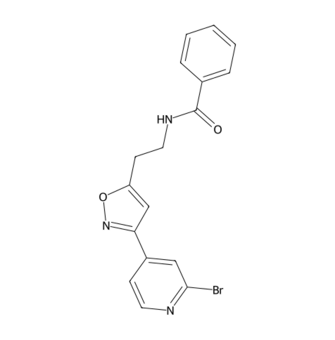 O=C(NCCc1cc(-c2ccnc(Br)c2)no1)c1ccccc1